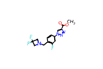 COC(=O)c1cn(-c2ccc(CN3CC(F)(F)C3)c(F)c2)nn1